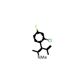 C=C(C)/C(=C(/C)NC)c1ccc(F)cc1Cl